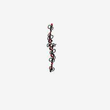 C=CC(=O)OCCCCOC(=O)Oc1ccc(CC(=O)c2ccc(C(=O)Oc3ccc(OC(=O)OCCCCOC(=O)C=C)cc3)cc2Br)cc1